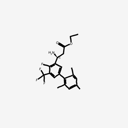 CCOC(=O)C[C@H](N)c1cc(-c2c(C)cc(C)cc2C)cc(C(F)(F)F)c1F